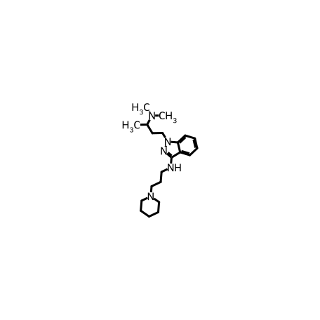 CC(CCn1nc(NCCCN2CCCCC2)c2ccccc21)N(C)C